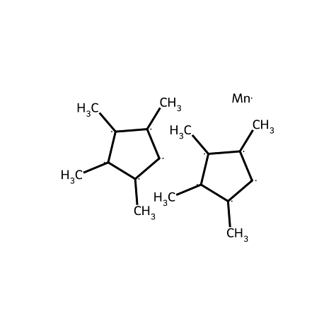 C[C]1[CH][C](C)[C](C)[C]1C.C[C]1[CH][C](C)[C](C)[C]1C.[Mn]